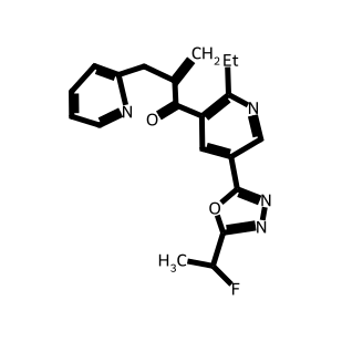 C=C(Cc1ccccn1)C(=O)c1cc(-c2nnc(C(C)F)o2)cnc1CC